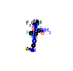 CS(C)(C)CCn1ccnc1-c1ccc(N2CCN(c3nc4nc([C@H](Cc5cc(F)cc(F)c5)NC(=O)Cn5nc(C(F)(F)F)c6c5C(F)(F)[C@@H]5C[C@H]65)c(-c5ccc(F)c(C(N)=O)c5)cc4s3)CC2)cc1